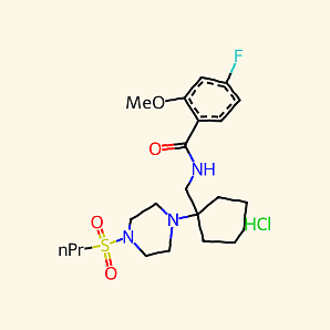 CCCS(=O)(=O)N1CCN(C2(CNC(=O)c3ccc(F)cc3OC)CCCCC2)CC1.Cl